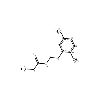 CCC(=O)OCCc1cc(C)ccc1C